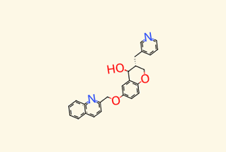 O[C@@H]1c2cc(OCc3ccc4ccccc4n3)ccc2OC[C@H]1Cc1cccnc1